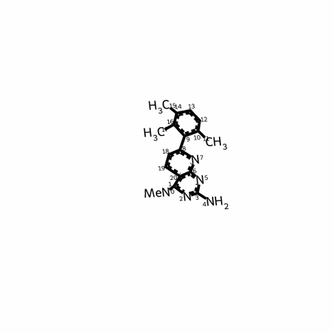 CNc1nc(N)nc2nc(-c3c(C)ccc(C)c3C)ccc12